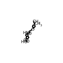 CCC(C)c1ccc(OCCCC(=O)Nc2ccc3cc(S(=O)(=O)O)ccc3c2)cc1